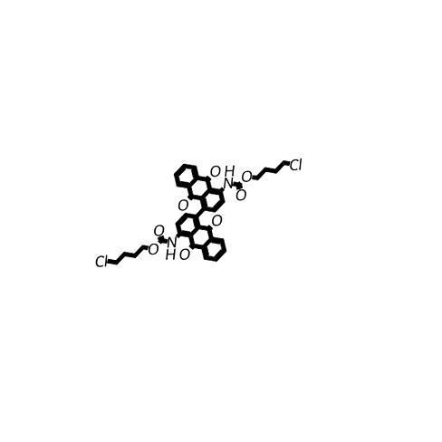 O=C(Nc1ccc(-c2ccc(NC(=O)OCCCCCl)c3c2C(=O)c2ccccc2C3=O)c2c1C(=O)c1ccccc1C2=O)OCCCCCl